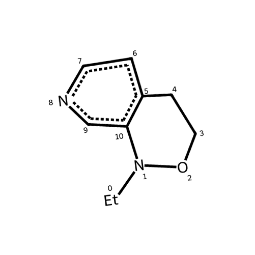 CCN1OCCc2ccncc21